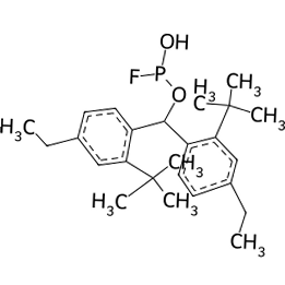 CCc1ccc(C(OP(O)F)c2ccc(CC)cc2C(C)(C)C)c(C(C)(C)C)c1